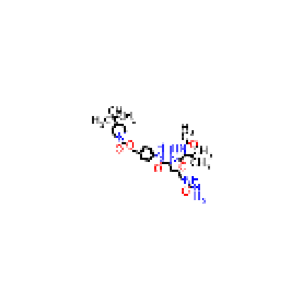 CC(=O)NC(C(=O)NC(CCCNC(N)=O)C(=O)Nc1ccc(COC(=O)N2CCC(C(C)(C)C)CC2)cc1)C(C)C